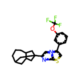 FC(F)(F)Oc1cccc(-c2csc3nc(C45CC6CCCC(C4)C(C6)C5)cn23)c1